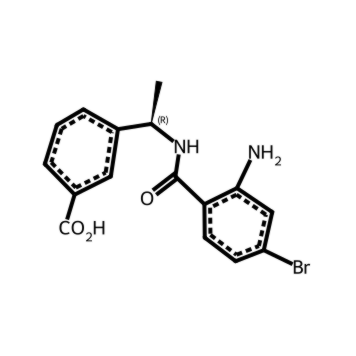 C[C@@H](NC(=O)c1ccc(Br)cc1N)c1cccc(C(=O)O)c1